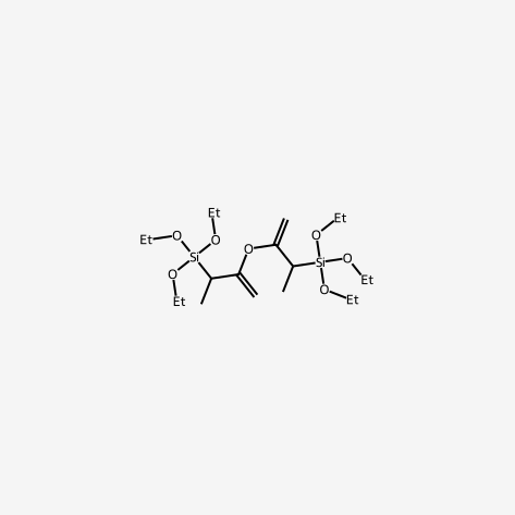 C=C(OC(=C)C(C)[Si](OCC)(OCC)OCC)C(C)[Si](OCC)(OCC)OCC